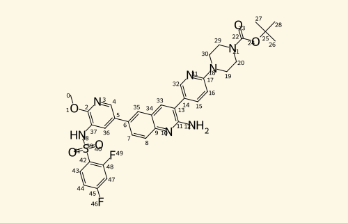 COc1ncc(-c2ccc3nc(N)c(-c4ccc(N5CCN(C(=O)OC(C)(C)C)CC5)nc4)cc3c2)cc1NS(=O)(=O)c1ccc(F)cc1F